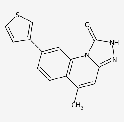 Cc1cc2n[nH]c(=O)n2c2cc(-c3ccsc3)ccc12